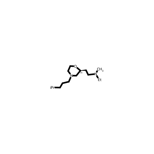 CCN(C)CC[C@H]1CN(CCCC(C)C)CCO1